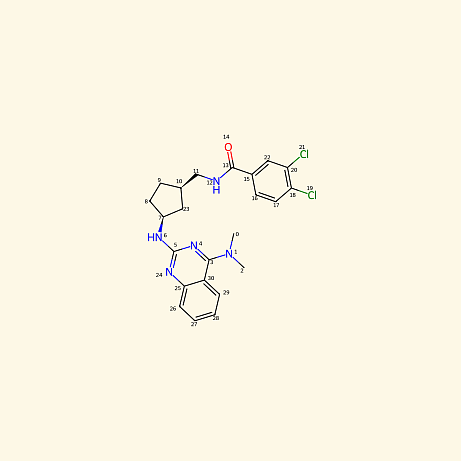 CN(C)c1nc(N[C@H]2CC[C@@H](CNC(=O)c3ccc(Cl)c(Cl)c3)C2)nc2ccccc12